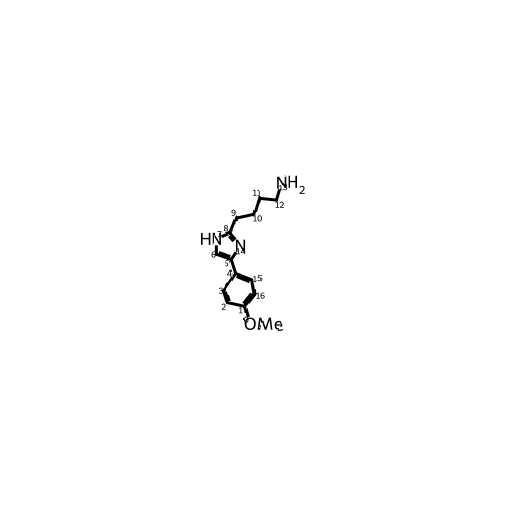 COc1ccc(-c2c[nH]c(CCCCN)n2)cc1